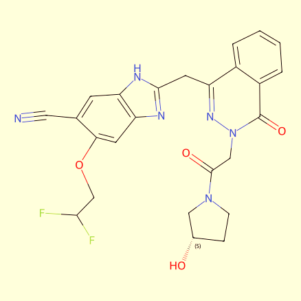 N#Cc1cc2[nH]c(Cc3nn(CC(=O)N4CC[C@H](O)C4)c(=O)c4ccccc34)nc2cc1OCC(F)F